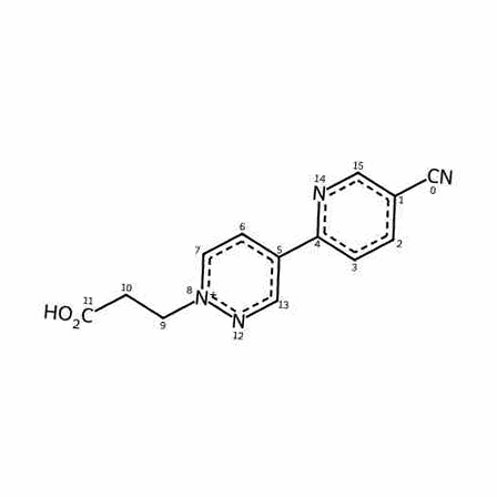 N#Cc1ccc(-c2cc[n+](CCC(=O)O)nc2)nc1